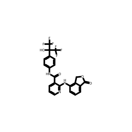 O=C(Nc1ccc(C(O)(C(F)(F)F)C(F)(F)F)cc1)c1cccnc1Nc1cccc2c1COC2=O